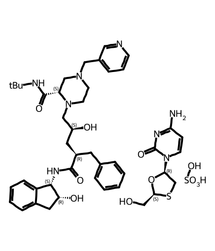 CC(C)(C)NC(=O)[C@@H]1CN(Cc2cccnc2)CCN1C[C@@H](O)C[C@@H](Cc1ccccc1)C(=O)N[C@H]1c2ccccc2C[C@H]1O.Nc1ccn([C@H]2CS[C@@H](CO)O2)c(=O)n1.O=S(=O)(O)O